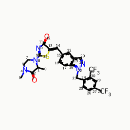 CC1C(=O)N(C)CCN1C1=NC(=O)/C(=C/c2ccc3c(cnn3Cc3ccc(C(F)(F)F)cc3C(F)(F)F)c2)S1